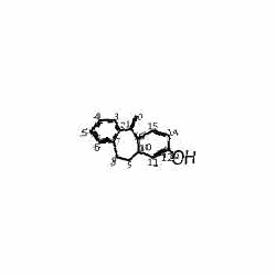 C=C1c2ccccc2CCC2C=C(O)C=CC12